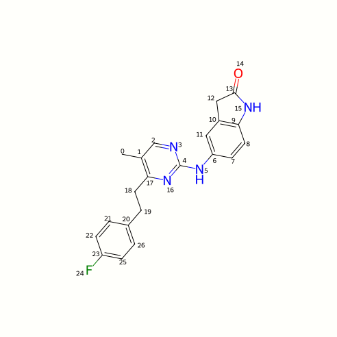 Cc1cnc(Nc2ccc3c(c2)CC(=O)N3)nc1CCc1ccc(F)cc1